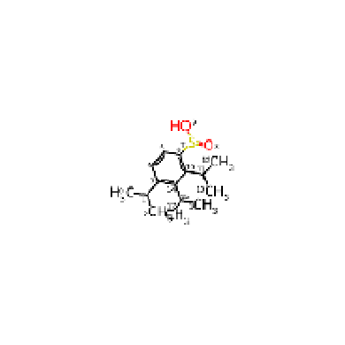 CC(C)c1ccc(S(=O)O)c(C(C)C)c1C(C)C